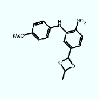 COc1ccc(Nc2cc(C3OC(C)O3)ccc2[N+](=O)[O-])cc1